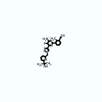 C#Cc1cccc(-c2nc(N)c(F)c(-c3cn(Cc4cccc(C(C)(C)O)n4)nn3)n2)c1C